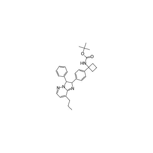 CCCC1=CC=NN2C1=NC(c1ccc(C3(NC(=O)OC(C)(C)C)CCC3)cc1)C2c1ccccc1